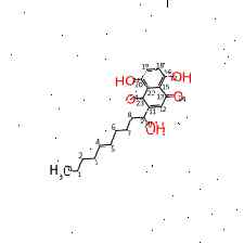 CCCCCCCCCC(O)C1=CC(=O)c2c(O)ccc(O)c2C1=O